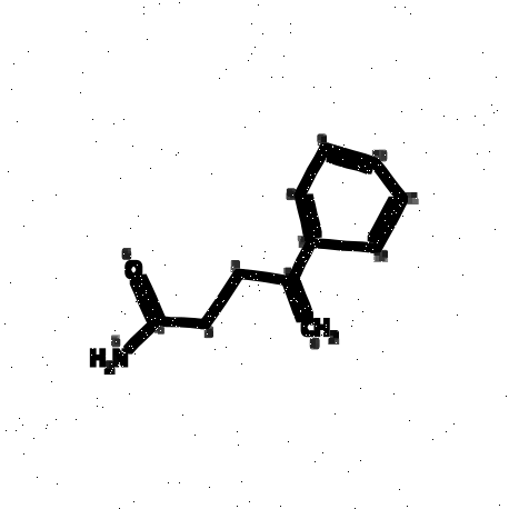 C=C(CCC(N)=O)c1ccccc1